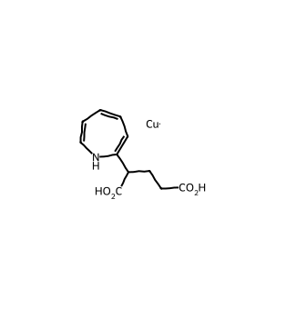 O=C(O)CCC(C(=O)O)C1=CC=CC=CN1.[Cu]